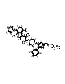 CCOC(=O)Cn1cc(N2CCN(C(=O)C(=O)c3c[nH]c4c(-n5ccnn5)ncc(F)c34)CC2)c(-c2ccccc2)n1